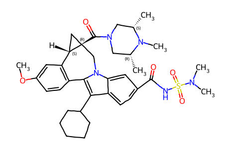 COc1ccc2c(c1)[C@@H]1C[C@]1(C(=O)N1C[C@@H](C)N(C)[C@@H](C)C1)Cn1c-2c(C2CCCCC2)c2ccc(C(=O)NS(=O)(=O)N(C)C)cc21